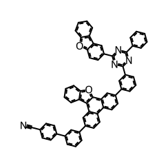 N#Cc1ccc(-c2cccc(-c3ccc4c5ccc(-c6cccc(-c7nc(-c8ccccc8)nc(-c8ccc9oc%10ccccc%10c9c8)n7)c6)cc5c5oc6ccccc6c5c4c3)c2)cc1